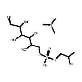 CC(O)COP(=O)(O)OCC(O)C(O)C(O)C(O)CO.CN(C)C